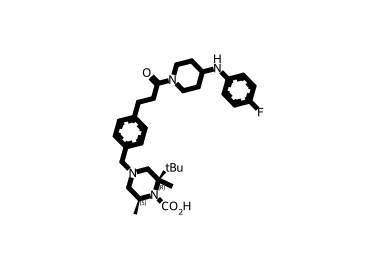 C[C@H]1CN(Cc2ccc(CCC(=O)N3CCC(Nc4ccc(F)cc4)CC3)cc2)C[C@@](C)(C(C)(C)C)N1C(=O)O